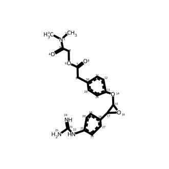 CN(C)C(=O)COC(=O)Cc1ccc(OC2OC2c2ccc(NC(=N)N)cc2)cc1